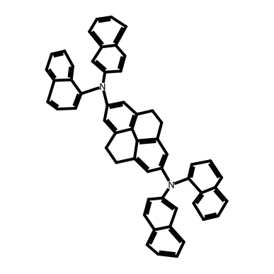 c1ccc2cc(N(c3cc4c5c(c3)CCc3cc(N(c6ccc7ccccc7c6)c6cccc7ccccc67)cc(c3-5)CC4)c3cccc4ccccc34)ccc2c1